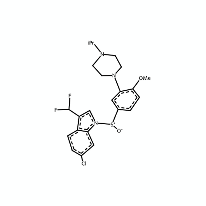 COc1ccc([S+]([O-])n2cc(C(F)F)c3ccc(Cl)cc32)cc1N1CCN(C(C)C)CC1